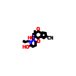 C=CCN1NC(O[C@@H]2c3cc(C#N)ccc3C(=O)C(C)(C)[C@H]2O)=CC=C1O